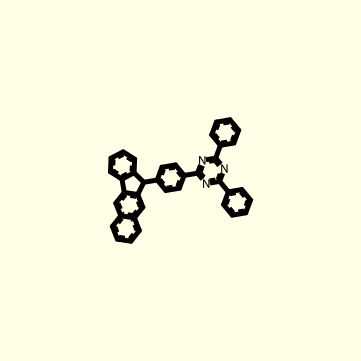 c1ccc(-c2nc(-c3ccccc3)nc(-c3ccc(C4c5ccccc5-c5cc6ccccc6cc54)cc3)n2)cc1